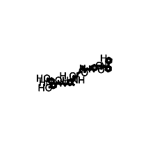 Cc1cc(CNC[C@H](O)c2ccc(O)c3c2C=CC(O)N3)ccc1NC(=O)CCCCN(C)C(=O)CCN1CCC(OC(=O)Nc2ccccc2-c2ccccc2)CC1